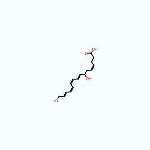 O=C(O)CC/C=C\CC(O)/C=C/C=C\C=C/C=C/CO